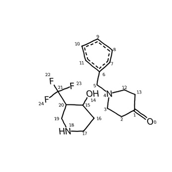 O=C1CCN(Cc2ccccc2)CC1.OC1CCNCC1C(F)(F)F